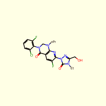 CCCN1CN(c2c(F)cccc2Cl)C(=O)c2cc(F)c(-n3nc(CO)n(CC)c3=O)nc21